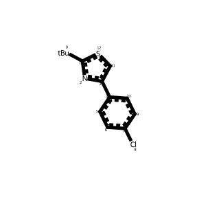 CC(C)(C)c1nc(-c2ccc(Cl)cc2)cs1